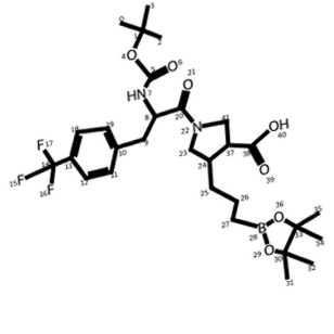 CC(C)(C)OC(=O)NC(Cc1ccc(C(F)(F)F)cc1)C(=O)N1CC(CCCB2OC(C)(C)C(C)(C)O2)C(C(=O)O)C1